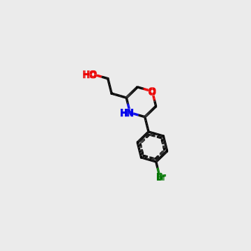 OCCC1COCC(c2ccc(Br)cc2)N1